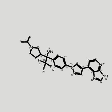 CC(C)N1CCC([C@](O)(c2ccc(-n3cc(-c4ccnc5[nH]cnc45)cn3)cc2)C(F)(F)F)C1